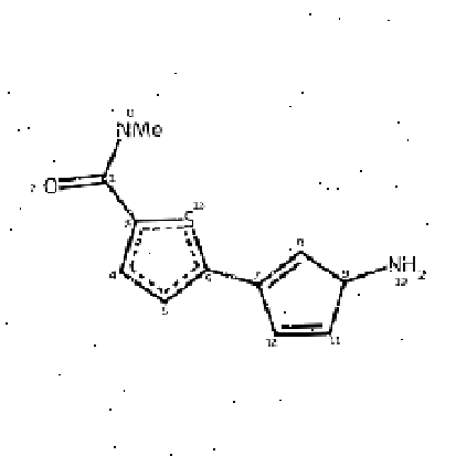 CNC(=O)c1ccc(C2=CC(N)C=C2)s1